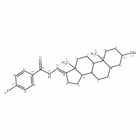 CC12CCC3C(CCC4CC(O)CCC43C)C1CC/C2=N\NC(=O)c1ccc(F)cc1